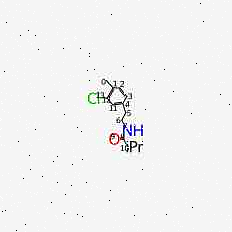 Cc1ccc(CCNC(=O)C(C)C)cc1Cl